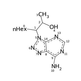 CCCCCCC(C(C)O)n1nnc2c(N)ncnc21